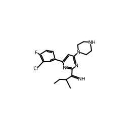 CCC(C)C(=N)c1nc(-c2ccc(F)c(Cl)c2)cc(N2CCNCC2)n1